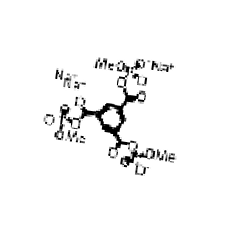 COP(=O)([O-])OC(=O)c1cc(C(=O)OP(=O)([O-])OC)cc(C(=O)OP(=O)([O-])OC)c1.[Na+].[Na+].[Na+]